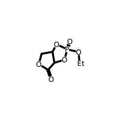 CCOP1(=O)OC2COC(=O)C2O1